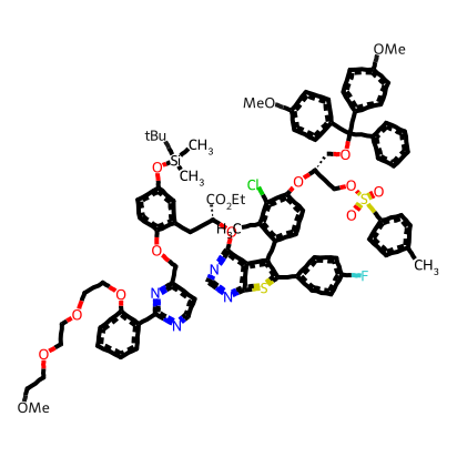 CCOC(=O)[C@@H](Cc1cc(O[Si](C)(C)C(C)(C)C)ccc1OCc1ccnc(-c2ccccc2OCCOCCOCCOC)n1)Oc1ncnc2sc(-c3ccc(F)cc3)c(-c3ccc(O[C@H](COC(c4ccccc4)(c4ccc(OC)cc4)c4ccc(OC)cc4)COS(=O)(=O)c4ccc(C)cc4)c(Cl)c3C)c12